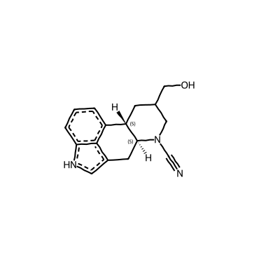 N#CN1CC(CO)C[C@H]2c3cccc4[nH]cc(c34)C[C@@H]21